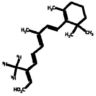 [3H]C([3H])([3H])C(C=CC=C(C)C=CC1=C(C)CCCC1(C)C)=CC(=O)O